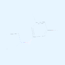 CC(C)CN(Oc1cc(Cl)cc(Br)c1)C(=O)O